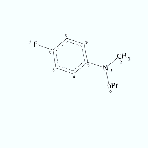 [CH2]CCN(C)c1ccc(F)cc1